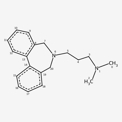 CN(C)CCCN1Cc2ccccc2-c2ccccc2C1